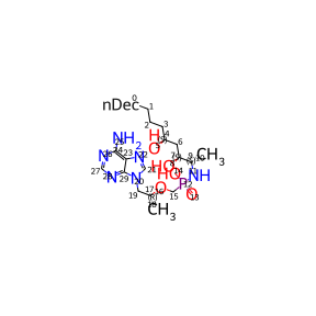 CCCCCCCCCCCCC[C@H](O)C[C@H](O)[C@H](C)NP(=O)(O)CO[C@H](C)Cn1cnc2c(N)ncnc21